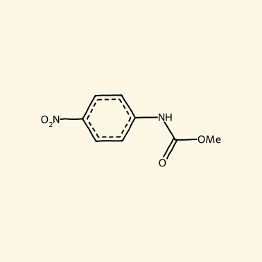 COC(=O)Nc1ccc([N+](=O)[O-])cc1